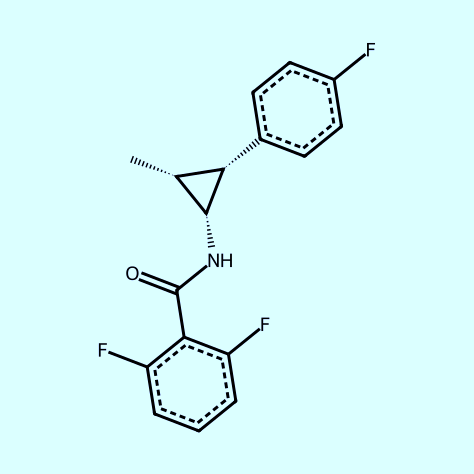 C[C@H]1[C@@H](NC(=O)c2c(F)cccc2F)[C@H]1c1ccc(F)cc1